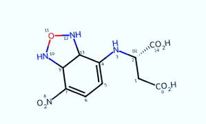 O=C(O)C[C@H](NC1=CC=C([N+](=O)[O-])C2NONC12)C(=O)O